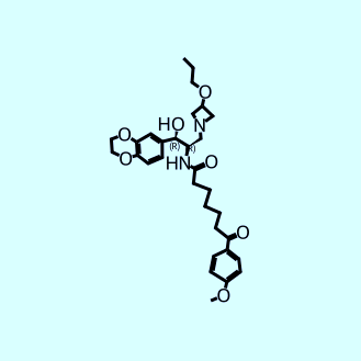 CCCOC1CN(C[C@@H](NC(=O)CCCCCC(=O)c2ccc(OC)cc2)[C@H](O)c2ccc3c(c2)OCCO3)C1